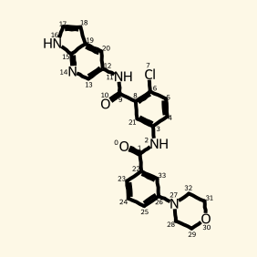 O=C(Nc1ccc(Cl)c(C(=O)Nc2cnc3[nH]ccc3c2)c1)c1cccc(N2CCOCC2)c1